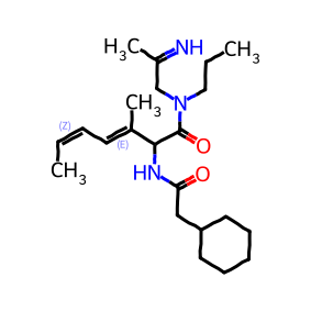 C/C=C\C=C(/C)C(NC(=O)CC1CCCCC1)C(=O)N(CCC)CC(C)=N